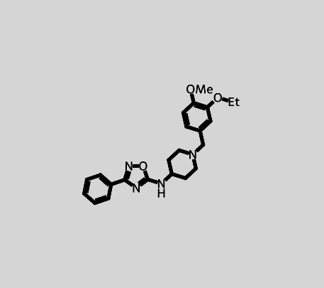 CCOc1cc(CN2CCC(Nc3nc(-c4ccccc4)no3)CC2)ccc1OC